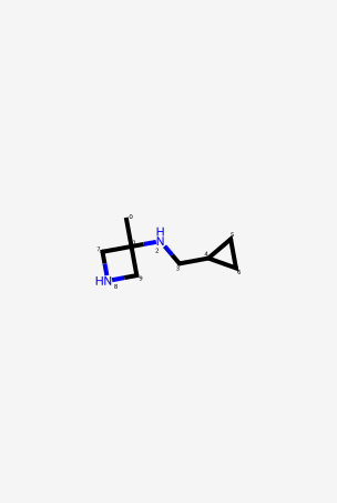 CC1(NCC2CC2)CNC1